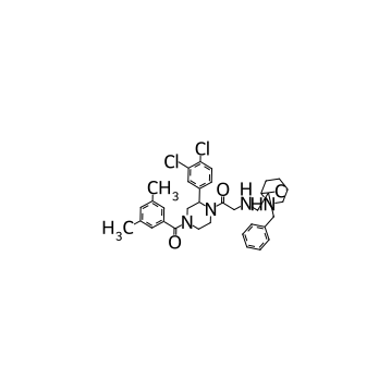 Cc1cc(C)cc(C(=O)N2CCN(C(=O)CNCC3(Cc4ccccc4)CC4CCC3NC4)C(c3ccc(Cl)c(Cl)c3)C2)c1